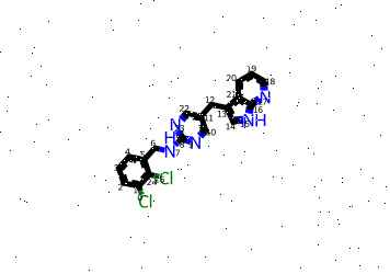 Clc1cccc(CNc2ncc(Cc3c[nH]c4ncccc34)cn2)c1Cl